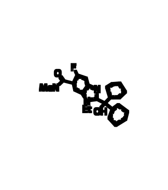 CCn1c(C(O)(c2ccccc2)c2ccccc2)nc2cc(F)c(C(=O)NC)cc21